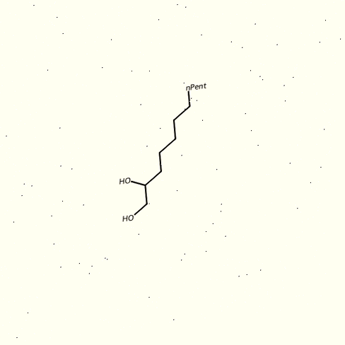 [CH2]CCCCCCCCCC(O)[CH]O